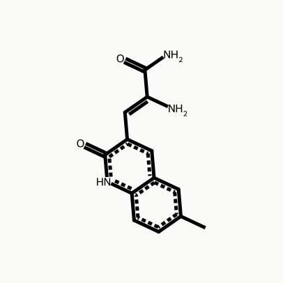 Cc1ccc2[nH]c(=O)c(C=C(N)C(N)=O)cc2c1